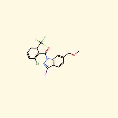 COCc1ccc2c(I)nn(C(=O)c3c(Cl)cccc3C(F)(F)F)c2c1